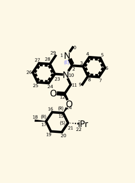 C/N=C(\c1ccccc1C)N(CC(=O)O[C@@H]1C[C@H](C)CC[C@H]1C(C)C)c1ccccc1C